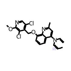 C=CN(/C=C\C)c1cc(C)nc2c(OCc3c(Cl)cnc(OC)c3Cl)cccc12